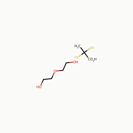 CC(S)(S)C(=O)O.OCCOCCO